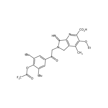 CCOc1c(C(=O)O)nc2c(c1C)CN(CC(=O)c1cc(C(C)(C)C)c(OC(=O)C(F)(F)F)c(C(C)(C)C)c1)C2=N